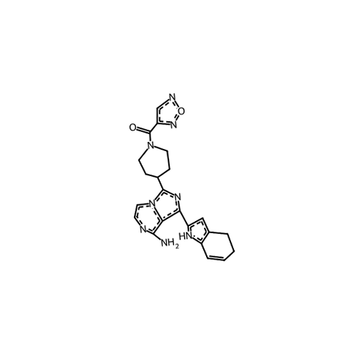 Nc1nccn2c(C3CCN(C(=O)c4cnon4)CC3)nc(-c3cc4c([nH]3)C=CCC4)c12